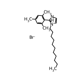 CCCCCCCCCCC[n+]1cc[nH]c1-c1c(C)cc(C)cc1C.[Br-]